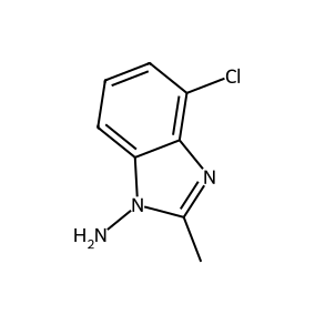 Cc1nc2c(Cl)cccc2n1N